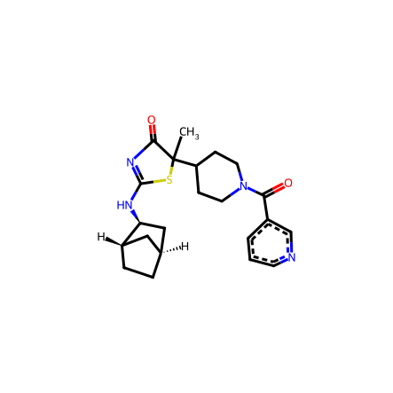 CC1(C2CCN(C(=O)c3cccnc3)CC2)SC(N[C@H]2C[C@H]3CC[C@H]2C3)=NC1=O